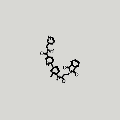 Cc1cc(-c2ccc(C(=O)NCc3cccnc3)cn2)ccc1N(C)C(=O)CCN1C(=O)c2ccccc2C1=O